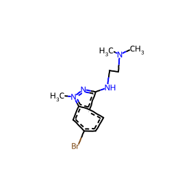 CN(C)CCNc1nn(C)c2cc(Br)ccc12